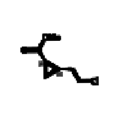 COC(=O)[C@@H]1C[C@H]1CCCl